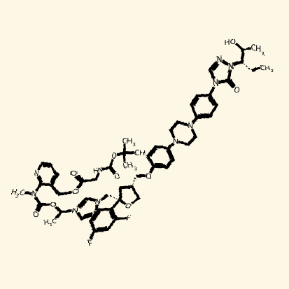 CC[C@@H]([C@H](C)O)n1ncn(-c2ccc(N3CCN(c4ccc(OC[C@@H]5CO[C@@](Cn6c[n+](C(C)OC(=O)N(C)c7ncccc7COC(=O)CNC(=O)OC(C)(C)C)cn6)(c6ccc(F)cc6F)C5)cc4)CC3)cc2)c1=O